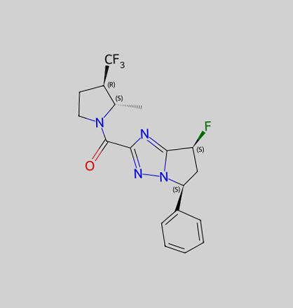 C[C@H]1[C@H](C(F)(F)F)CCN1C(=O)c1nc2n(n1)[C@H](c1ccccc1)C[C@@H]2F